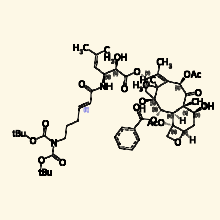 CC(=O)O[C@H]1C(=O)[C@@]2(C)[C@H]([C@H](OC(=O)c3ccccc3)[C@]3(O)C[C@H](OC(=O)[C@H](O)[C@H](C=C(C)C)NC(=O)/C=C/CCCN(C(=O)OC(C)(C)C)C(=O)OC(C)(C)C)C(C)=C1C3(C)C)[C@]1(OC(C)=O)CO[C@@H]1C[C@@H]2O